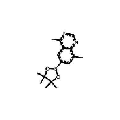 Cc1ncnc2c(C)cc(B3OC(C)(C)C(C)(C)O3)cc12